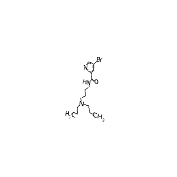 CCCN(CCC)CCCCNC(=O)c1cncc(Br)c1